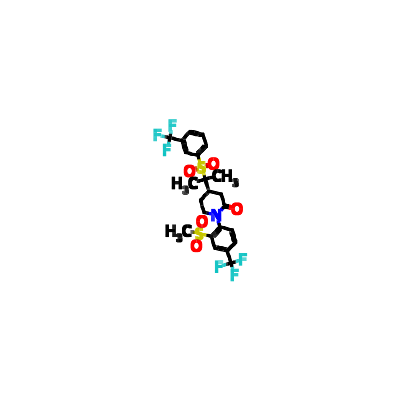 CC(C)([C@@H]1CCN(c2ccc(C(F)(F)F)cc2S(C)(=O)=O)C(=O)C1)S(=O)(=O)c1cccc(C(F)(F)F)c1